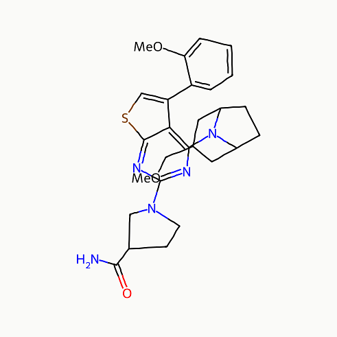 COCC1CC2CCC(C1)N2c1nc(N2CCC(C(N)=O)C2)nc2scc(-c3ccccc3OC)c12